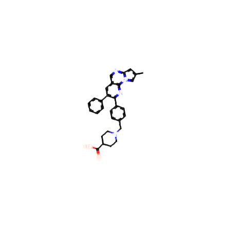 Cc1cc2ncc3cc(-c4ccccc4)c(-c4ccc(CN5CCC(C(=O)O)CC5)cc4)nc3n2c1